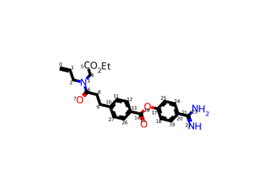 C=CCN(CC(=O)OCC)C(=O)CCc1ccc(C(=O)Oc2ccc(C(=N)N)cc2)cc1